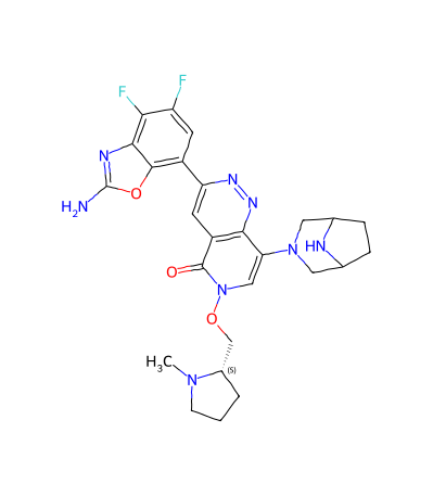 CN1CCC[C@H]1COn1cc(N2CC3CCC(C2)N3)c2nnc(-c3cc(F)c(F)c4nc(N)oc34)cc2c1=O